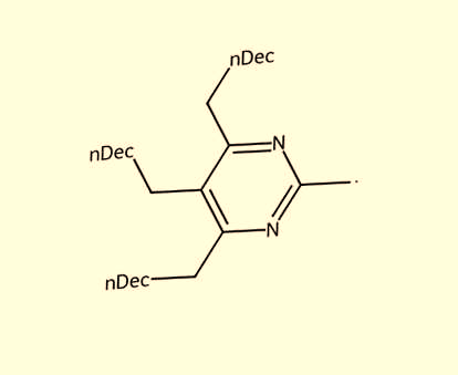 [CH2]c1nc(CCCCCCCCCCC)c(CCCCCCCCCCC)c(CCCCCCCCCCC)n1